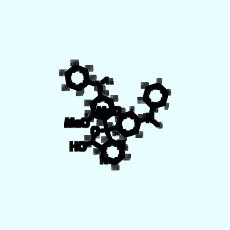 COc1cc(N(C)c2ccccc2)ccc1C1(c2ccc(N(C)c3ccccc3)cc2OC)OC(O)c2nccnc21